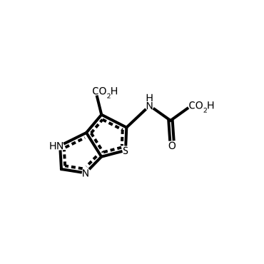 O=C(O)C(=O)Nc1sc2nc[nH]c2c1C(=O)O